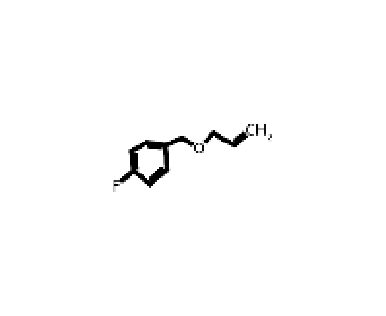 C=CCOCc1ccc(F)cc1